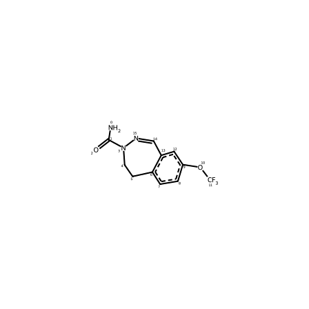 NC(=O)N1CCc2ccc(OC(F)(F)F)cc2C=N1